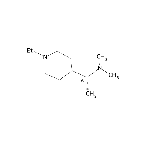 CCN1CCC([C@@H](C)N(C)C)CC1